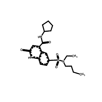 CCCCN(CC)S(=O)(=O)c1ccc2[nH]c(=O)cc(C(=O)NC3CCCC3)c2c1